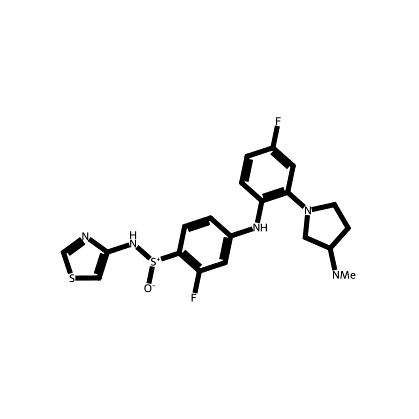 CNC1CCN(c2cc(F)ccc2Nc2ccc([S+]([O-])Nc3cscn3)c(F)c2)C1